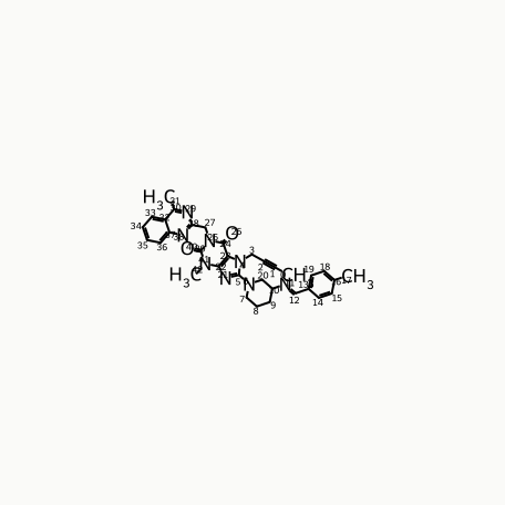 CC#CCn1c(N2CCCC(N=Cc3ccc(C)cc3)C2)nc2c1c(=O)n(Cc1nc(C)c3ccccc3n1)c(=O)n2C